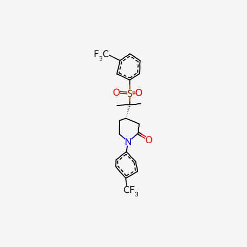 CC(C)([C@H]1CCN(c2ccc(C(F)(F)F)cc2)C(=O)C1)S(=O)(=O)c1cccc(C(F)(F)F)c1